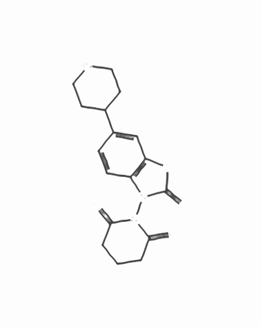 O=C1CCCC(=O)N1n1c(=O)oc2cc(C3CCNCC3)ccc21